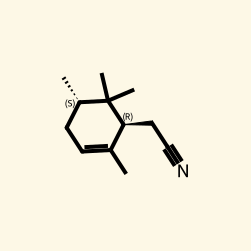 CC1=CC[C@H](C)C(C)(C)[C@H]1CC#N